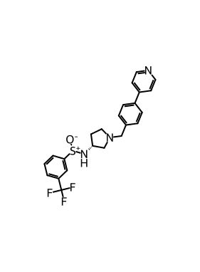 [O-][S@+](N[C@@H]1CCN(Cc2ccc(-c3ccncc3)cc2)C1)c1cccc(C(F)(F)F)c1